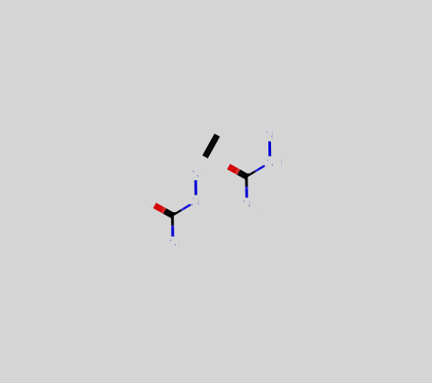 C=C.NNC(N)=O.NNC(N)=O